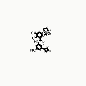 N#Cc1cc(NC(=O)c2cc(N3CCCS3(=O)=O)cc(Cl)c2Cl)cc(C2CCC2)c1